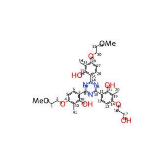 COCCOc1ccc(-c2nc(-c3ccc(OCCO)c(C)c3O)nc(-c3ccc(OCCOC)c(C)c3O)n2)c(O)c1C